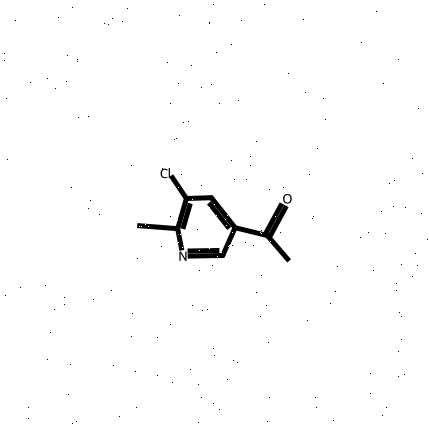 CC(=O)c1cnc(C)c(Cl)c1